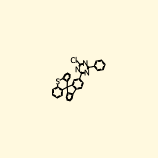 Clc1nc(-c2ccccc2)nc(-c2ccc3c(c2)C2(c4ccccc4Sc4ccccc42)c2ccccc2-3)n1